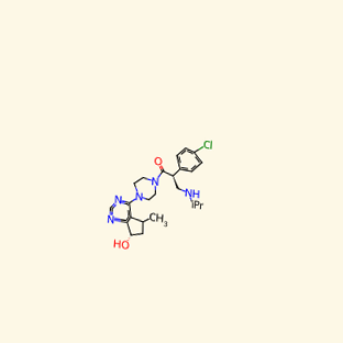 CC(C)NC[C@@H](C(=O)N1CCN(c2ncnc3c2C(C)C[C@@H]3O)CC1)c1ccc(Cl)cc1